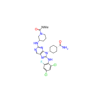 CNC(=O)N1CCCC(Nc2ncc3nc(Nc4c(F)cc(Cl)cc4Cl)n([C@H]4CC[C@@H](C(N)=O)CC4)c3n2)C1